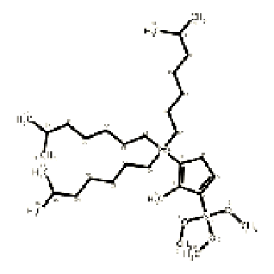 CO[Si](OC)(OC)C1=CC[C]([Pt]([CH2]CCCCC(C)C)([CH2]CCCCC(C)C)[CH2]CCCCC(C)C)=C1C